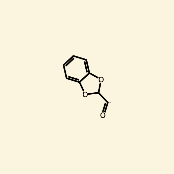 O=[C]C1Oc2ccccc2O1